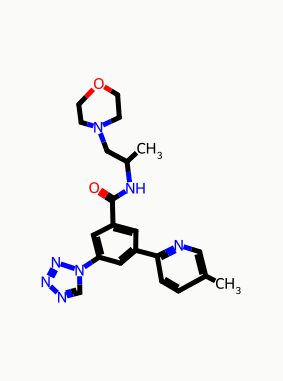 Cc1ccc(-c2cc(C(=O)NC(C)CN3CCOCC3)cc(-n3cnnn3)c2)nc1